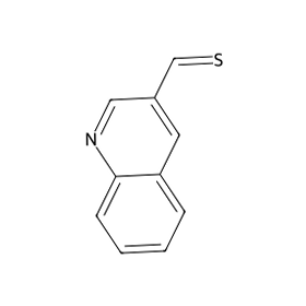 S=Cc1cnc2ccccc2c1